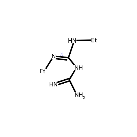 CC/N=C(/NCC)NC(=N)N